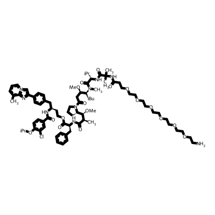 CC[C@H](C)[C@@H]([C@@H](CC(=O)N1CCC[C@H]1[C@H](OC)[C@@H](C)C(=O)N[C@@H](Cc1ccccc1)C(=O)OCC[C@H](Cc1ccc(-c2cn3cccc(C)c3n2)cc1)NC(=O)c1ccc(OC(C)C)c(Cl)c1)OC)N(C)C(=O)[C@@H](NC(=O)C(C)(C)NC(=O)CCOCCOCCOCCOCCOCCOCCN)C(C)C